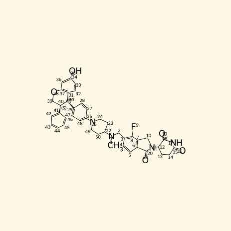 CN(Cc1ccc2c(c1F)CN(C1CCC(=O)NC1=O)C2=O)C1CCN(c2ccc([C@@H]3c4ccc(O)cc4OC[C@@H]3c3ccccc3)cc2)CC1